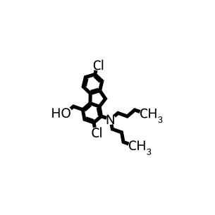 CCCCN(CCCC)c1c(Cl)cc(CO)c2c1Cc1cc(Cl)ccc1-2